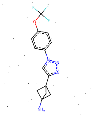 NC12CC(c3cn(-c4ccc(OC(F)(F)F)cc4)nn3)(C1)C2